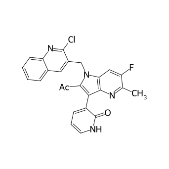 CC(=O)c1c(-c2ccc[nH]c2=O)c2nc(C)c(F)cc2n1Cc1cc2ccccc2nc1Cl